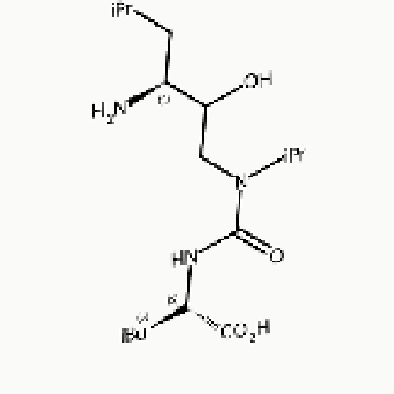 CC[C@H](C)[C@H](NC(=O)N(CC(O)[C@@H](N)CC(C)C)C(C)C)C(=O)O